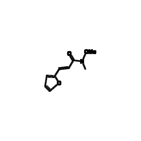 CON(C)C(=O)/C=C/c1ccco1